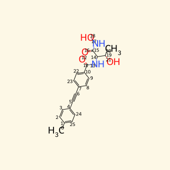 Cc1ccc(C#Cc2ccc(C(=O)NC(C(=O)NO)C(C)O)cc2)cc1